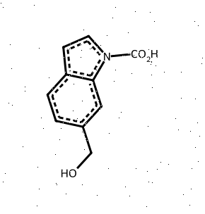 O=C(O)n1ccc2ccc(CO)cc21